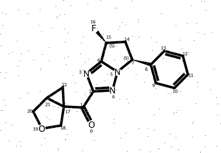 O=C(c1nc2n(n1)[C@H](c1ccccc1)C[C@@H]2F)C12COCC1C2